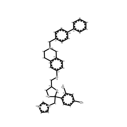 Clc1ccc(C2(Cn3ccnc3)OCC(COc3ccc4c(c3)CCN(Cc3ccc(-c5ccccc5)cc3)C4)O2)c(Cl)c1